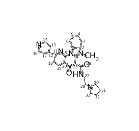 Cn1c2ccccc2n2c3nc(-c4ccncc4)ccc3c(=O)c(C(=O)NCCN3CCCC3)c12